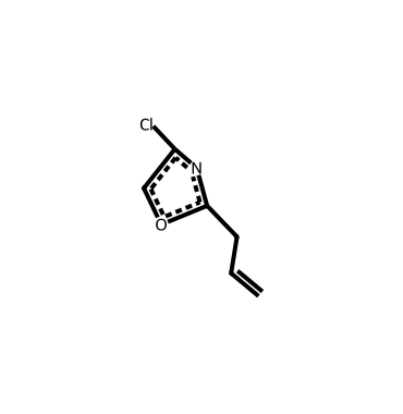 C=CCc1nc(Cl)co1